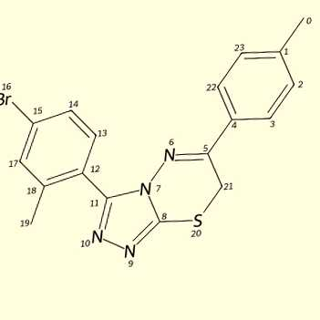 Cc1ccc(C2=Nn3c(nnc3-c3ccc(Br)cc3C)SC2)cc1